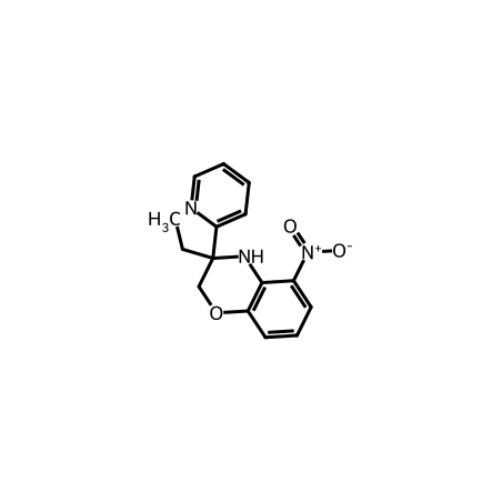 CCC1(c2ccccn2)COc2cccc([N+](=O)[O-])c2N1